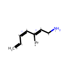 C=C/C=C\C(=C\CN)C(C)C